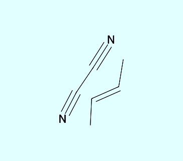 CC=CC.N#CC#N